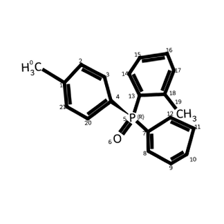 Cc1ccc([P@](=O)(c2ccccc2)c2ccccc2C)cc1